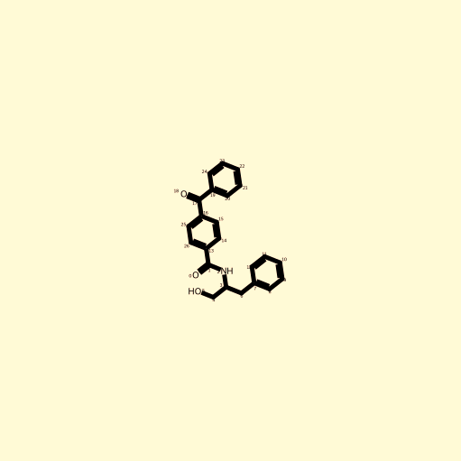 O=C(NC(CO)Cc1ccccc1)c1ccc(C(=O)c2ccccc2)cc1